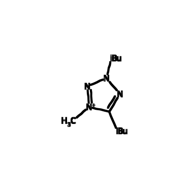 CCC(C)c1nn(C(C)CC)n[n+]1C